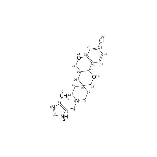 Cc1nc[nH]c1CN1CCC2(CC1)COC1c3ccc(Cl)cc3OCC1C2